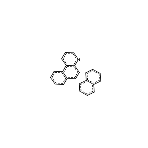 c1ccc2c(c1)ccc1ncccc12.c1ccc2ccccc2c1